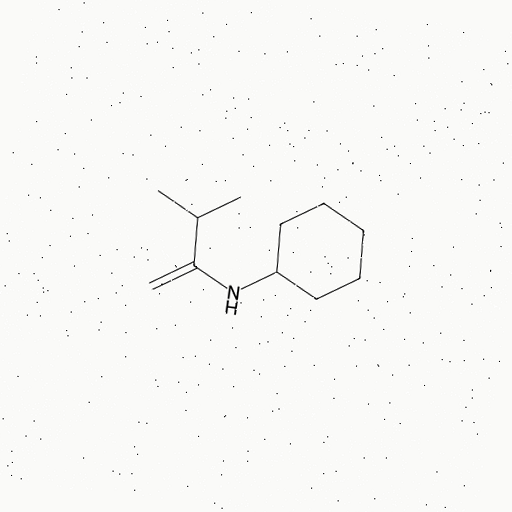 C=C(NC1CCCCC1)C(C)C